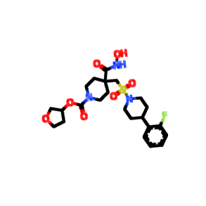 O=C(OC1CCOC1)N1CCC(CS(=O)(=O)N2CCC(c3ccccc3F)CC2)(C(=O)NO)CC1